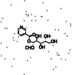 O=C[C@H](OC(=O)c1cccnc1)[C@@H](O)[C@H](O)[C@H](O)CO